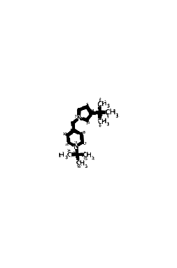 CC(C)(C)C1CCN(CC2CCN(C(C)(C)C)CC2)C1